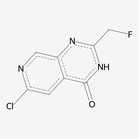 O=c1[nH]c(CF)nc2cnc(Cl)cc12